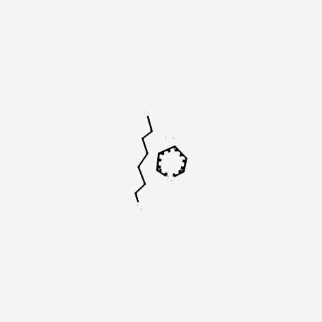 Br.CCCCCCCCCCCCCCN.c1ccncc1